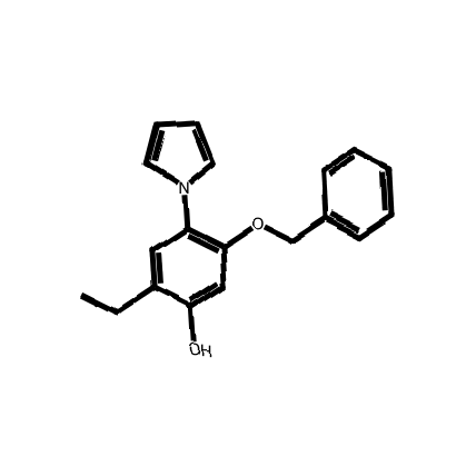 CCc1cc(-n2cccc2)c(OCc2ccccc2)cc1O